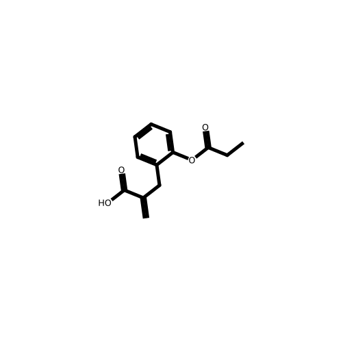 C=C(Cc1ccccc1OC(=O)CC)C(=O)O